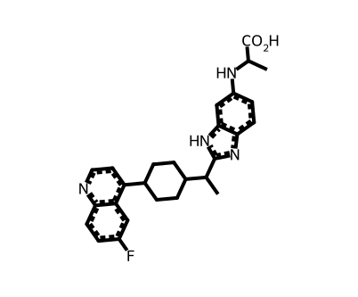 CC(Nc1ccc2nc(C(C)C3CCC(c4ccnc5ccc(F)cc45)CC3)[nH]c2c1)C(=O)O